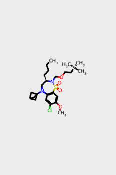 CCCC[C@@H]1CN(C23CC(C2)C3)c2cc(Cl)c(OC)cc2S(=O)(=O)N1COCC[Si](C)(C)C